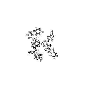 COC(=O)N[C@H]1C[C@@H](n2cnc3c(NCC(c4ccccc4)c4ccccc4)nc(N4CC[C@@H](NC(=O)NCc5ccccn5)C4)nc32)[C@H](O)[C@@H]1O.O=C(O)C(F)(F)F